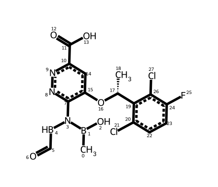 CB(O)N(BC=O)c1nnc(C(=O)O)cc1O[C@H](C)c1c(Cl)ccc(F)c1Cl